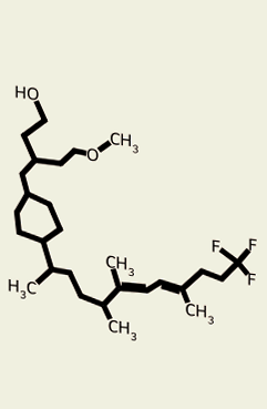 COCCC(CCO)CC1CCC(C(C)CCC(C)/C(C)=C/C=C(\C)CCC(F)(F)F)CC1